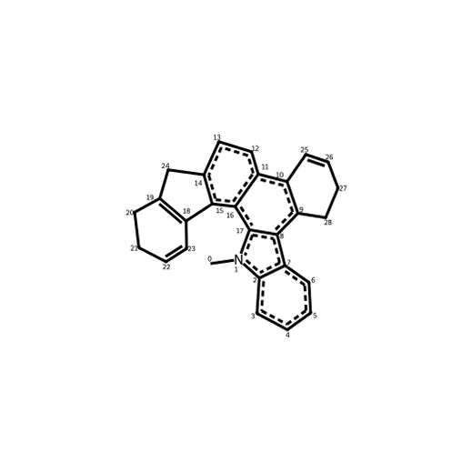 Cn1c2ccccc2c2c3c(c4ccc5c(c4c21)C1=C(CCC=C1)C5)C=CCC3